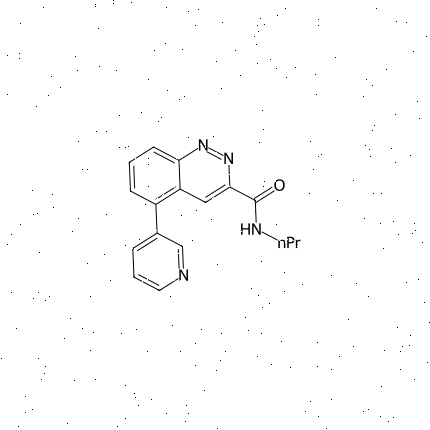 CCCNC(=O)c1cc2c(-c3cccnc3)cccc2nn1